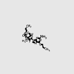 CCCOc1nc(N)nc2c1ncn2[C@@H]1O[C@@H]2CO[P@](=O)(OCCC)O[C@H]2[C@@]1(C)F